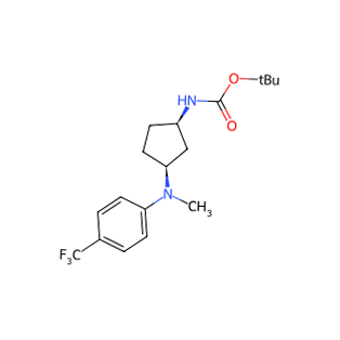 CN(c1ccc(C(F)(F)F)cc1)[C@H]1CC[C@@H](NC(=O)OC(C)(C)C)C1